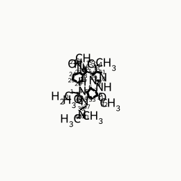 C=CC(=O)Nc1cc(Nc2ncc(C(C)C)c(-c3cn(C(C)=O)c4ccccc34)n2)c(OC)cc1N(C)CCN(C)C